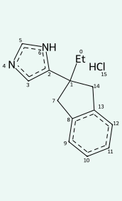 CCC1(c2cnc[nH]2)Cc2ccccc2C1.Cl